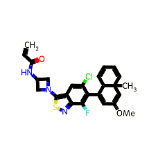 C=CC(=O)NC1CN(c2snc3c(F)c(C4=CC(OC)=CC5(C)C=CC=CC45)c(Cl)cc23)C1